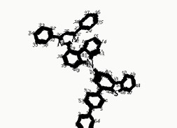 c1ccc(-c2ccc(-c3cc(-n4c5ccccc5c5c(-c6nc(-c7ccccc7)cc(-c7ccccc7)n6)cccc54)cc4c3sc3ccccc34)cc2)cc1